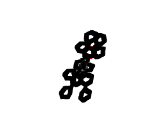 C1=CN(c2ccc(-c3ccccc3)c3ccccc23)[Si]2(N1c1cccc3c(-c4ccccc4)cccc13)N(c1ccc(-c3ccccc3)c3ccccc13)C=CN2c1ccc(-c2ccccc2)c2ccccc12